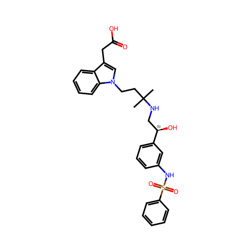 CC(C)(CCn1cc(CC(=O)O)c2ccccc21)NC[C@@H](O)c1cccc(NS(=O)(=O)c2ccccc2)c1